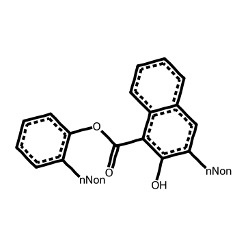 CCCCCCCCCc1ccccc1OC(=O)c1c(O)c(CCCCCCCCC)cc2ccccc12